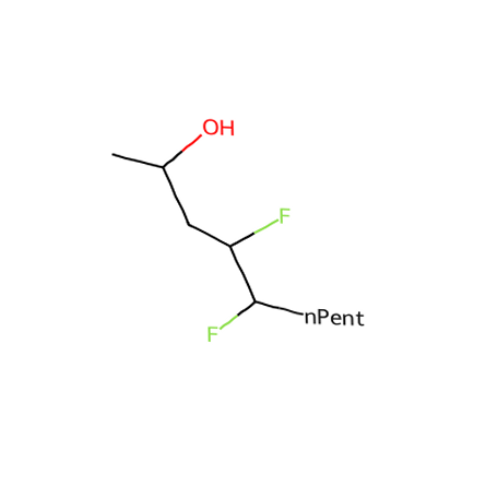 CCCCCC(F)C(F)CC(C)O